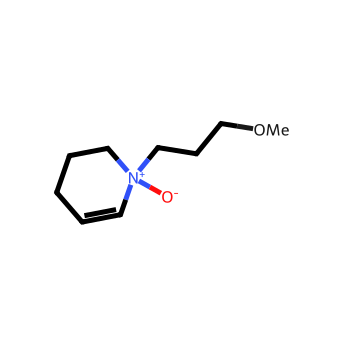 COCCC[N+]1([O-])C=CCCC1